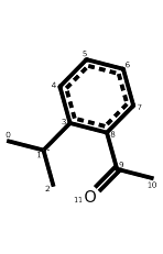 C[C](C)c1ccccc1C(C)=O